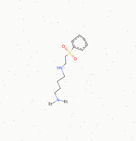 CCN(CC)CCCCNCCS(=O)(=O)c1ccccc1